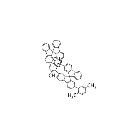 Cc1ccc(C)c(-c2ccc3c(c2)C2(c4ccccc4-c4ccc(C(=O)c5ccc6c(c5)C5(c7ccccc7-c7ccccc75)c5ccccc5-6)cc42)c2cc(-c4cc(C)ccc4C)ccc2-3)c1